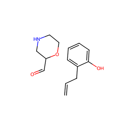 C=CCc1ccccc1O.O=CC1CNCCO1